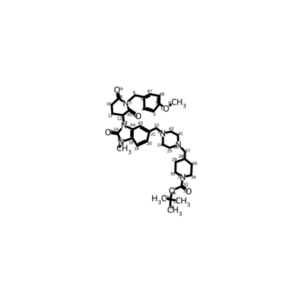 COc1ccc(CN2C(=O)CCC(n3c(=O)n(C)c4ccc(CN5CCN(CC6CCN(C(=O)OC(C)(C)C)CC6)CC5)cc43)C2=O)cc1